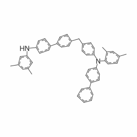 Cc1cc(C)cc(Nc2ccc(-c3ccc(Cc4ccc(N(c5ccc(-c6ccccc6)cc5)c5ccc(C)cc5C)cc4)cc3)cc2)c1